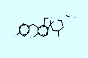 CCc1ccc(Cc2c(Cl)ccc3c2COC32CC(O)C[C@@H](CO)O2)cc1